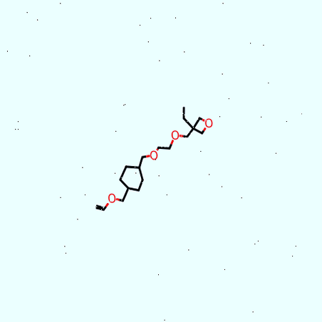 C=COCC1CCC(COCCOCC2(CC)COC2)CC1